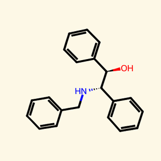 O[C@H](c1ccccc1)[C@@H](NCc1ccccc1)c1ccccc1